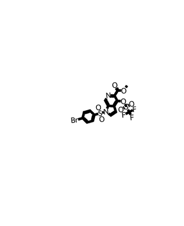 COC(=O)c1ncc2c(ccn2S(=O)(=O)c2ccc(Br)cc2)c1OS(=O)(=O)C(F)(F)F